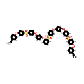 C#Cc1ccc(Oc2ccc(S(=O)(=O)c3ccc(Oc4cccc(Oc5ccccc5S(=O)(=O)c5ccc(Oc6ccc(Oc7ccc(S(=O)(=O)c8ccc(Oc9cccc(C#C)c9)cc8)cc7)cc6)cc5)c4)cc3)cc2)cc1